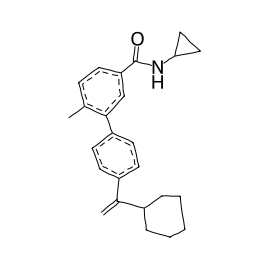 C=C(c1ccc(-c2cc(C(=O)NC3CC3)ccc2C)cc1)C1CCCCC1